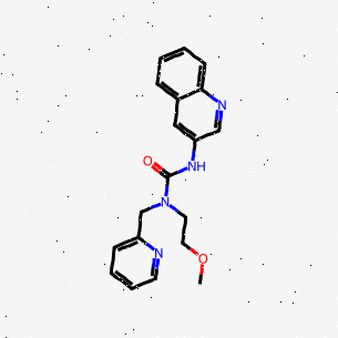 COCCN(Cc1ccccn1)C(=O)Nc1cnc2ccccc2c1